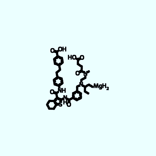 CCC(CC)N(CCN(C)C(=O)CCC(=O)O)Cc1cccc(C(=O)Nc2sc3c(c2C(=O)Nc2ccc(CCc4ccc(C(=O)O)cc4)cc2)CCCC3)c1.[MgH2]